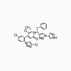 COc1cn(C(Cc2ccccc2)c2cn(-c3cn[nH]c3)nn2)c(=O)cc1-c1cc(Cl)ccc1-n1cc(Cl)nn1